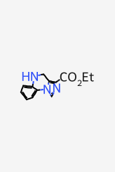 CCOC(=O)c1ncn2c1CNc1ccccc1-2